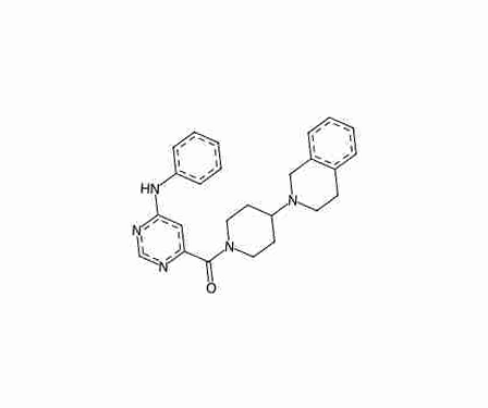 O=C(c1cc(Nc2ccccc2)ncn1)N1CCC(N2CCc3ccccc3C2)CC1